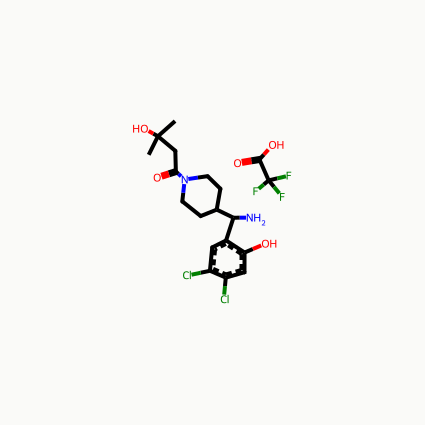 CC(C)(O)CC(=O)N1CCC(C(N)c2cc(Cl)c(Cl)cc2O)CC1.O=C(O)C(F)(F)F